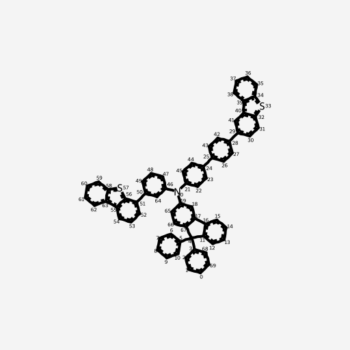 c1ccc(C2(c3ccccc3)c3ccccc3-c3cc(N(c4ccc(-c5ccc(-c6ccc7sc8ccccc8c7c6)cc5)cc4)c4cccc(-c5cccc6c5sc5ccccc56)c4)ccc32)cc1